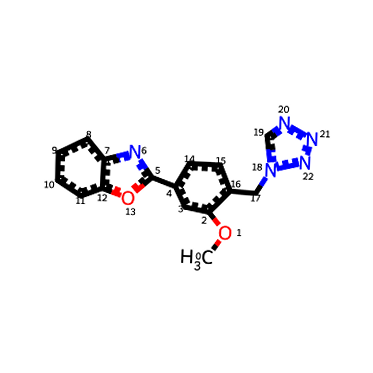 COc1cc(-c2nc3ccccc3o2)ccc1Cn1cnnn1